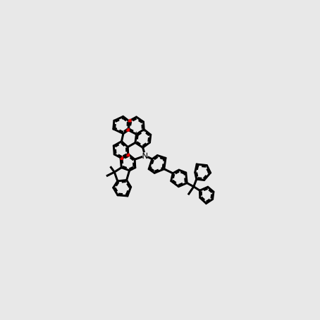 CC1(C)c2ccccc2-c2cc(N(c3ccc(-c4ccc(C(C)(c5ccccc5)c5ccccc5)cc4)cc3)c3ccc4ccccc4c3-c3ccccc3-c3ccccc3)ccc21